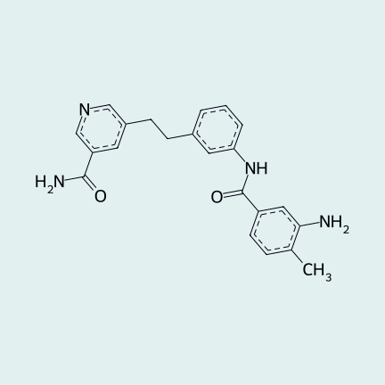 Cc1ccc(C(=O)Nc2cccc(CCc3cncc(C(N)=O)c3)c2)cc1N